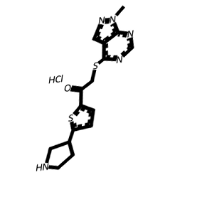 Cl.Cn1ncc2c(SCC(=O)c3ccc(C4CCNC4)s3)ncnc21